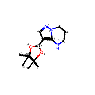 CC1(C)OB(c2cnn3c2NCCC3)OC1(C)C